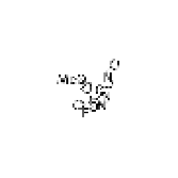 COc1ccc(-c2c(-c3ccccc3F)oc3ncnc(OC4CCCN(Cc5ccccc5)C4)c23)cc1